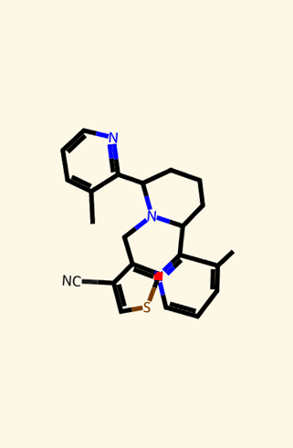 Cc1cccnc1C1CCCC(c2ncccc2C)N1Cc1cscc1C#N